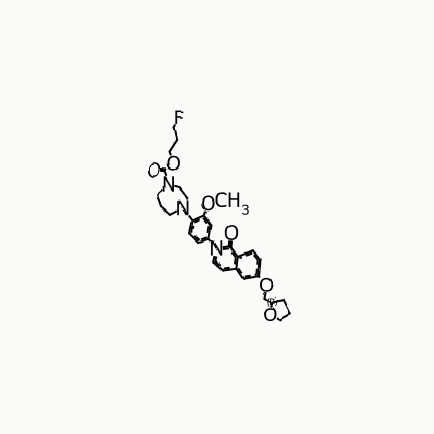 COc1cc(-n2ccc3cc(OC[C@H]4CCCO4)ccc3c2=O)ccc1N1CCCN(C(=O)OCCCF)CC1